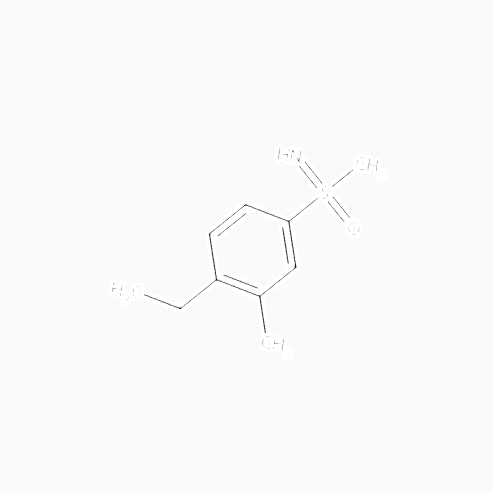 CCc1ccc(S(C)(=N)=O)cc1C